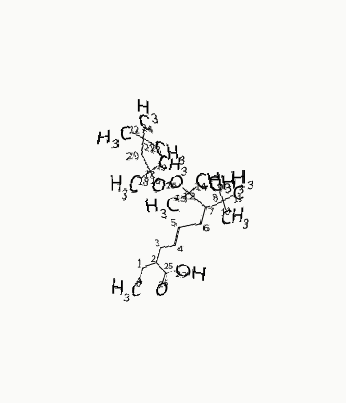 CCC(CCCCC(C(C)(C)C)C(C)(C)OOC(C)(C)CC(C)(C)C)C(=O)O